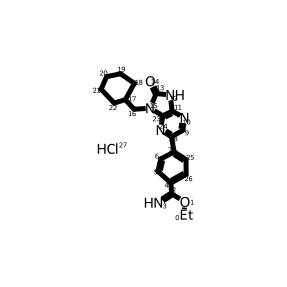 CCOC(=N)c1ccc(-c2cnc3[nH]c(=O)n(CC4CCCCC4)c3n2)cc1.Cl